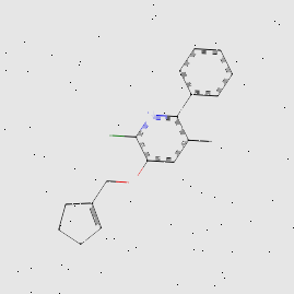 Cc1cc(OCC2=CCCC2)c(Cl)nc1-c1ccccc1